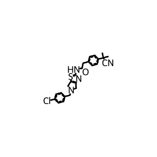 CC(C)(C#N)c1ccc(CC(=O)Nc2nc3c(s2)CN(Cc2ccc(Cl)cc2)C3)cc1